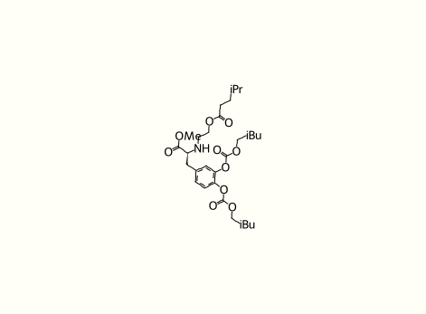 CCC(C)COC(=O)Oc1ccc(C[C@H](NCCOC(=O)CCC(C)C)C(=O)OC)cc1OC(=O)OCC(C)CC